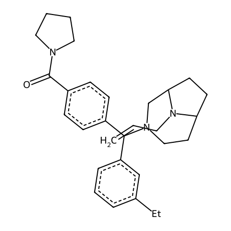 C=CCN1C2CCC1CN(C(c1ccc(C(=O)N3CCCC3)cc1)c1cccc(CC)c1)CC2